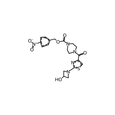 O=C(OCc1ccc([N+](=O)[O-])cc1)N1CCN(C(=O)c2csc(N3CC(O)C3)n2)CC1